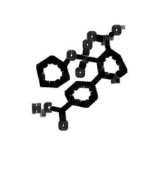 CC(=O)c1ccc(-c2nccc([N+](=O)[O-])c2S(=O)(=O)Oc2ccccc2)cc1